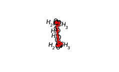 C=C1C(=O)O[C@H]2[C@H]1CC/C(COC(=O)CCC(=O)NCCCCCNC(=O)CCC(=O)OC/C1=C/CC[C@@]3(C)O[C@H]3[C@H]3OC(=O)C(=C)[C@@H]3CC1)=C\CC[C@@]1(C)O[C@@H]21